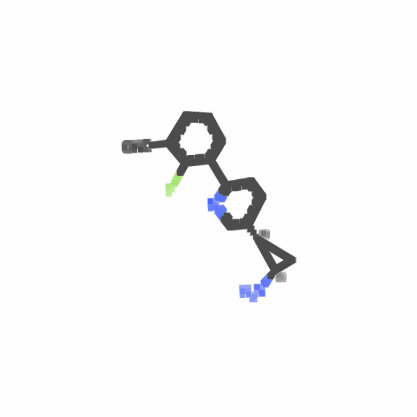 N[C@@H]1C[C@H]1c1ccc(-c2cccc(C=O)c2F)nc1